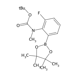 CN(C(=O)OC(C)(C)C)c1c(F)cccc1B1OC(C)(C)C(C)(C)O1